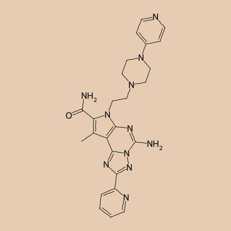 Cc1c(C(N)=O)n(CCN2CCN(c3ccncc3)CC2)c2nc(N)n3nc(-c4ccccn4)nc3c12